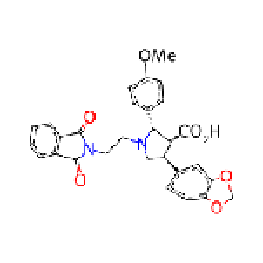 COc1ccc([C@@H]2[C@@H](C(=O)O)[C@@H](c3ccc4c(c3)OCO4)CN2CCN2C(=O)c3ccccc3C2=O)cc1